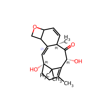 CC1=C2[C@@H](O)C(=O)[C@]3(C)C=CC4OCC4/C3=C/[C@](O)(CC1)C2(C)C